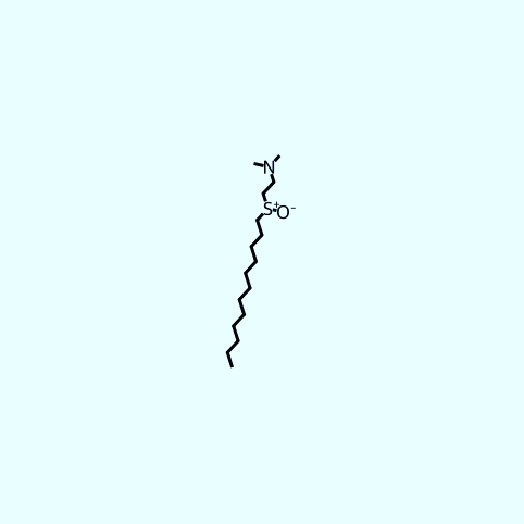 CCCCCCCCCCCC[S+]([O-])CCN(C)C